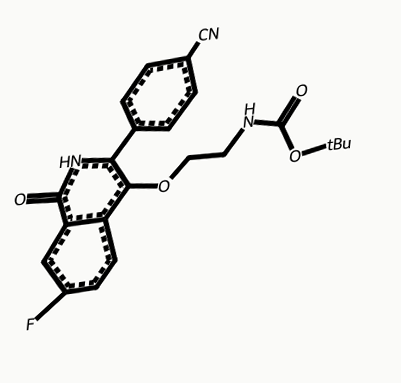 CC(C)(C)OC(=O)NCCOc1c(-c2ccc(C#N)cc2)[nH]c(=O)c2cc(F)ccc12